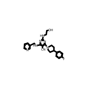 N#Cc1c(NCc2cccnc2)nc(NCCO)nc1N1CCC(c2ccc(F)cc2)CC1